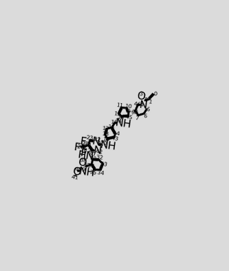 C=CC(=O)N1CCC[C@H](c2cccc(NCc3ccc(Nc4ncc(C(F)(F)F)c(Nc5ccccc5C(=O)NOC)n4)cc3)c2)C1